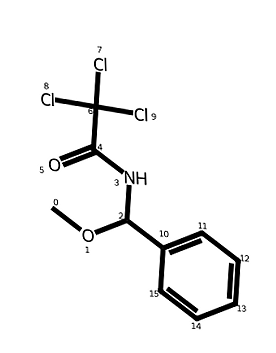 COC(NC(=O)C(Cl)(Cl)Cl)c1ccccc1